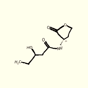 CCC(O)CC(=O)N[C@H]1CCOC1=O